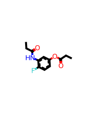 CCC(=O)Nc1cc(OC(=O)CC)ccc1F